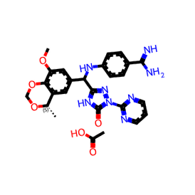 CC(=O)O.COc1cc(C(Nc2ccc(C(=N)N)cc2)c2nn(-c3ncccn3)c(=O)[nH]2)cc2c1OCO[C@H]2C